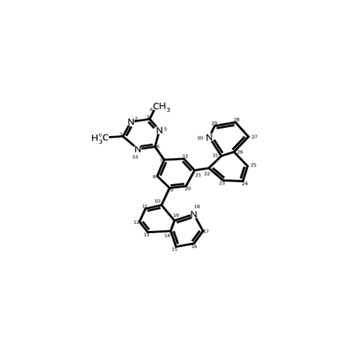 Cc1nc(C)nc(-c2cc(-c3cccc4cccnc34)cc(-c3cccc4cccnc34)c2)n1